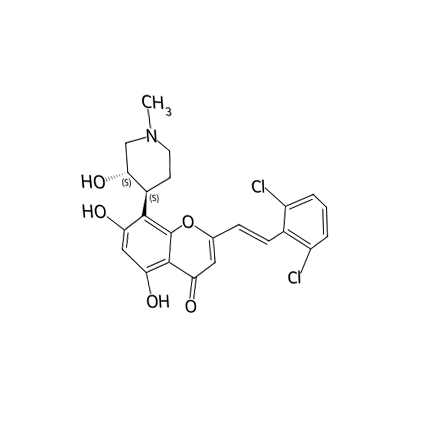 CN1CC[C@@H](c2c(O)cc(O)c3c(=O)cc(C=Cc4c(Cl)cccc4Cl)oc23)[C@H](O)C1